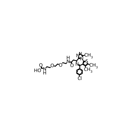 Cc1sc2c(c1C)C(c1ccc(Cl)cc1)=NC(CC(=O)NCCOCCOCCNC(=O)O)c1nnc(C)n1-2